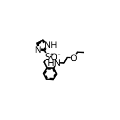 CCOCCNc1ccccc1C[S+]([O-])c1ncc[nH]1